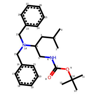 CC(C)CC(CNC(=O)OC(C)(C)C)N(Cc1ccccc1)Cc1ccccc1